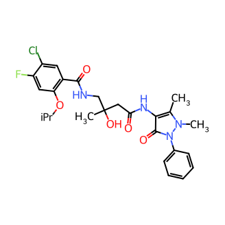 Cc1c(NC(=O)CC(C)(O)CNC(=O)c2cc(Cl)c(F)cc2OC(C)C)c(=O)n(-c2ccccc2)n1C